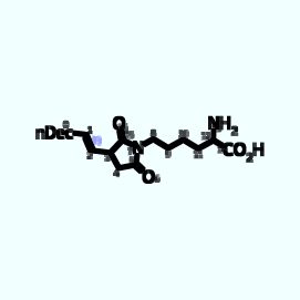 CCCCCCCCCC/C=C/C1CC(=O)N(CCCCC(N)C(=O)O)C1=O